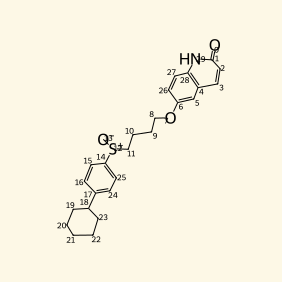 O=c1ccc2cc(OCCCC[S+]([O-])c3ccc(C4CCCCC4)cc3)ccc2[nH]1